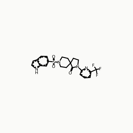 O=C1N(c2cccc(C(F)(F)F)n2)CCC12CCN(S(=O)(=O)c1ccc3cc[nH]c3c1)CC2